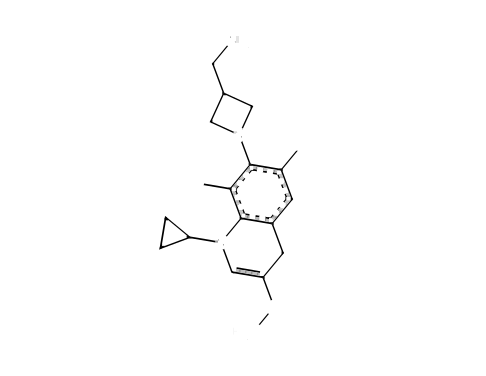 Cl.NCC1CN(c2c(F)cc3c(c2F)N(C2CC2)C=C(OC(=O)O)C3)C1